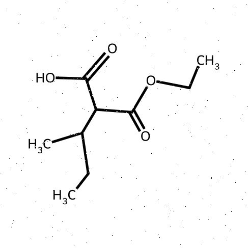 CCOC(=O)C(C(=O)O)C(C)CC